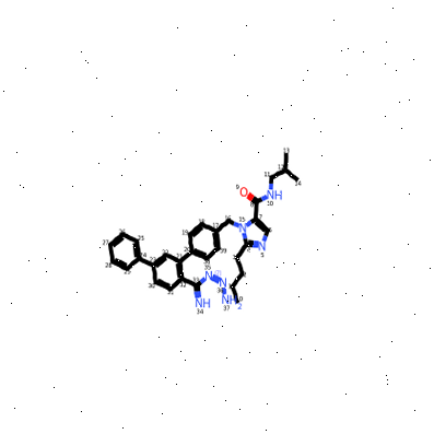 CCCCc1ncc(C(=O)NCC(C)C)n1Cc1ccc(-c2cc(-c3ccccc3)ccc2C(=N)/N=N\N)cc1